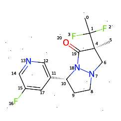 CC(F)(F)[C@@]1(C)CN2CC[C@H](c3cncc(F)c3)N2C1=O